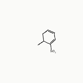 CC1CC=[C]C=C1[N+](=O)[O-]